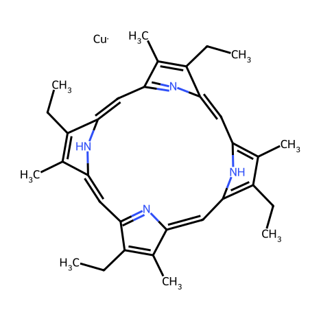 CCC1=C(C)c2cc3[nH]c(cc4nc(cc5[nH]c(cc1n2)c(C)c5CC)C(C)=C4CC)c(C)c3CC.[Cu]